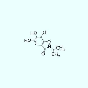 CC(C)n1oc2c(Cl)c(O)c(O)cc2c1=O